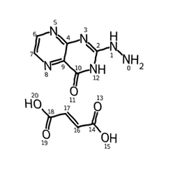 NNc1nc2nccnc2c(=O)[nH]1.O=C(O)/C=C/C(=O)O